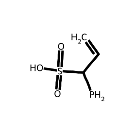 C=CC(P)S(=O)(=O)O